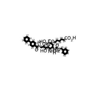 CC(=O)N[C@H]1[C@H]([C@H](O)[C@H](O)CNC(=O)c2ccc(-c3ccccc3)cc2)O[C@@](OCCCCCC(=O)O)(C(=O)O)C[C@@H]1NC(=O)OCc1ccccc1